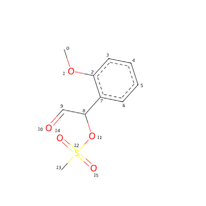 COc1ccccc1C(C=O)OS(C)(=O)=O